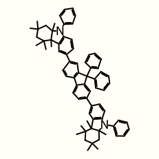 CC1(C)CC(C)(C)C2(C)c3cc(-c4ccc5c(c4)C(c4ccccc4)(c4ccccc4)c4cc(-c6ccc7c(c6)C6(C)C(C)(C)CC(C)(C)CC6(C)N7c6ccccc6)ccc4-5)ccc3N(c3ccccc3)C2(C)C1